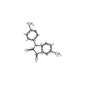 Cc1ccc(N2C(=O)C(=O)c3cc(C)ccc32)cc1